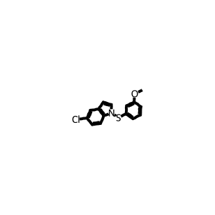 COc1cccc(Sn2ccc3cc(Cl)ccc32)c1